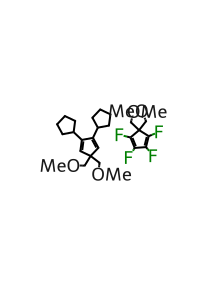 COCC1(COC)C(F)=C(F)C(F)=C1F.COCC1(COC)C=C(C2CCCC2)C(C2CCCC2)=C1